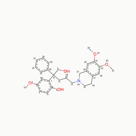 COc1ccc(O)c(C(CO)(CCCN2CCc3cc(OC)c(OC)cc3C2)c2ccccc2)c1